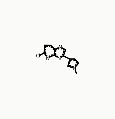 Cn1ccc(-c2cnc3ccc(Cl)nc3n2)c1